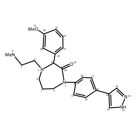 CNCCN1CCCN(c2ccc(-c3cn[nH]c3)cc2)C(=O)C1c1cccc(OC)c1